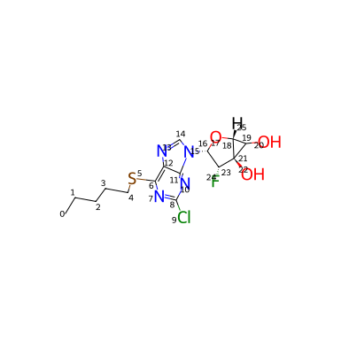 CCCCCSc1nc(Cl)nc2c1ncn2[C@@H]1O[C@@H]2C(O)[C@]2(O)[C@@H]1F